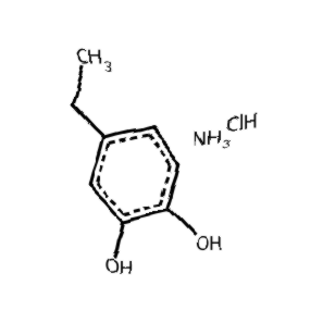 CCc1ccc(O)c(O)c1.Cl.N